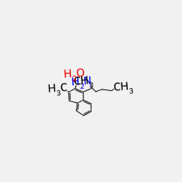 CCCCC(N)c1c(C)c(C)cc2ccccc12.O